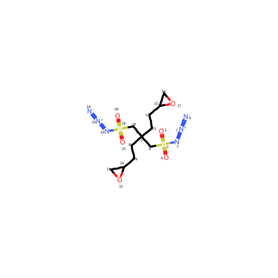 [N-]=[N+]=NS(=O)(=O)CC(CCC1CO1)(CCC1CO1)CS(=O)(=O)N=[N+]=[N-]